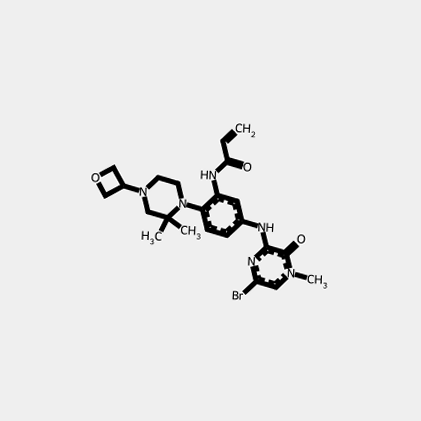 C=CC(=O)Nc1cc(Nc2nc(Br)cn(C)c2=O)ccc1N1CCN(C2COC2)CC1(C)C